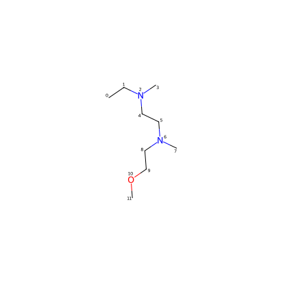 CCN(C)CCN(C)CCOC